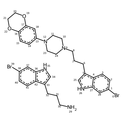 Brc1ccc2c(CCCN3CCN(c4ccc5c(c4)OCCO5)CC3)c[nH]c2c1.NCCCc1c[nH]c2cc(Br)ccc12